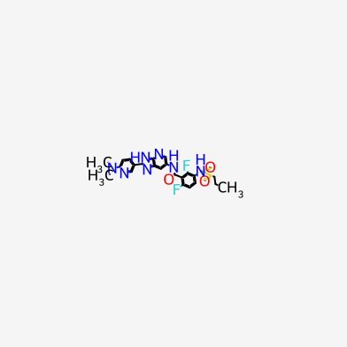 CCCS(=O)(=O)Nc1ccc(F)c(C(=O)Nc2cnc3[nH]c(-c4ccc(N(C)C)nc4)nc3c2)c1F